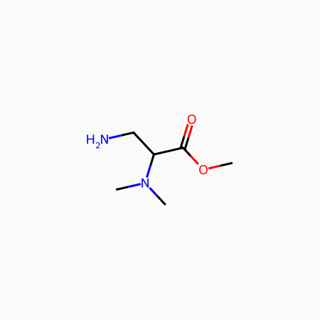 COC(=O)C(CN)N(C)C